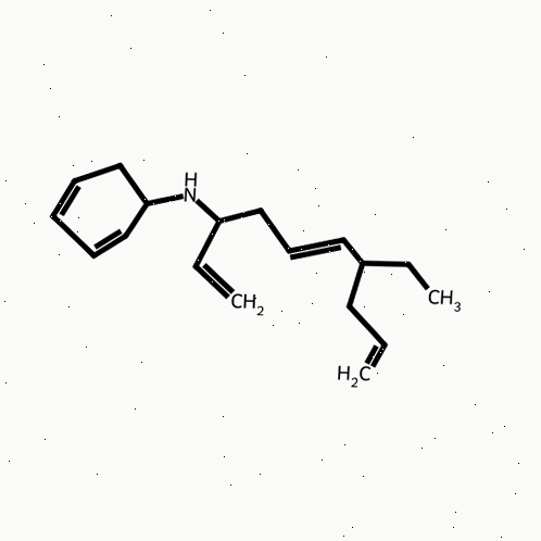 C=CCC(/C=C/CC(C=C)NC1C=CC=CC1)CC